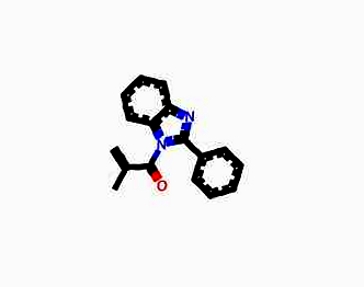 C=C(C)C(=O)n1c(-c2ccccc2)nc2ccccc21